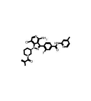 C=C(C)C(=O)N1CCC[C@@H](n2nc(-c3ccc(C(=O)Nc4cc(C)ccn4)cc3F)c3c(N)ncc(Cl)c32)C1